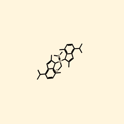 CC1=Cc2c(C(C)C)ccc(C)c2[CH]1[Zr]([CH2]Cl)([CH]1C(C)=Cc2c(C(C)C)ccc(C)c21)=[Si](C)C